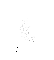 Cc1c(N2CCCCCC2)nc2ccc(Br)cc2c1C(=O)NCC(CCC(=O)OC(C)(C)C)c1ccccc1OC(F)(F)F